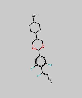 CCCC1CCC(C2COC(c3cc(F)c(/C(F)=C/C(F)(F)F)c(F)c3)OC2)CC1